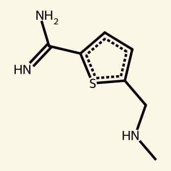 CNCc1ccc(C(=N)N)s1